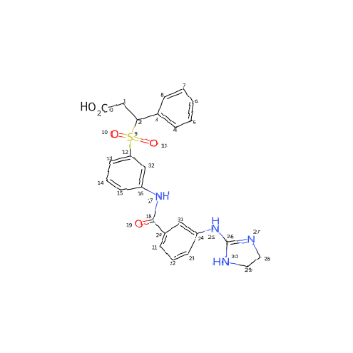 O=C(O)CC(c1ccccc1)S(=O)(=O)c1cccc(NC(=O)c2cccc(NC3=NCCN3)c2)c1